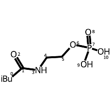 CCC(C)C(=O)NCCOP(=O)(O)O